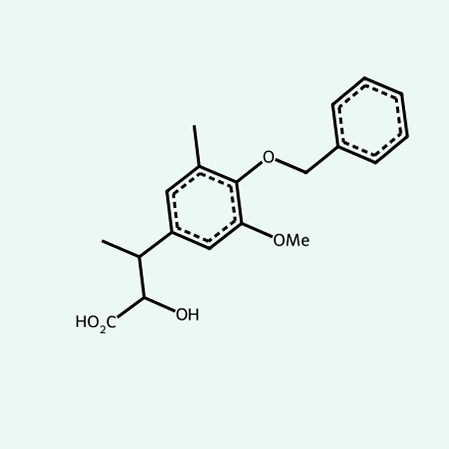 COc1cc(C(C)C(O)C(=O)O)cc(C)c1OCc1ccccc1